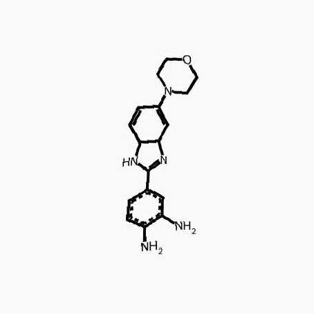 Nc1ccc(C2=NC3C=C(N4CCOCC4)C=CC3N2)cc1N